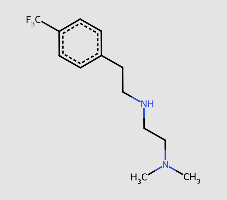 CN(C)CCNCCc1ccc(C(F)(F)F)cc1